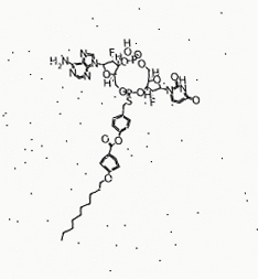 CCCCCCCCCCOc1ccc(C(=O)Oc2ccc(CSP3OC[C@H]4O[C@@H](n5cnc6c(N)ncnc65)[C@H](F)[C@@H]4OP(=O)(O)OC[C@H]4O[C@@H](n5ccc(=O)[nH]c5=O)[C@H](F)[C@@H]4O3)cc2)cc1